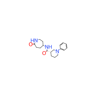 O=C1CCC(NC(=O)[C@H]2CCCN(c3ccccc3)C2)CCN1